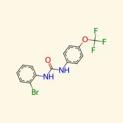 O=C(Nc1ccc(OC(F)(F)F)cc1)Nc1ccccc1Br